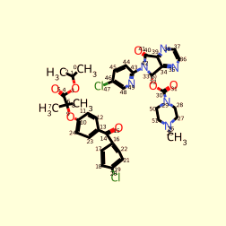 CC(C)OC(=O)C(C)(C)Oc1ccc(C(=O)c2ccc(Cl)cc2)cc1.CN1CCN(C(=O)O[C@H]2c3nccnc3C(=O)N2c2ccc(Cl)cn2)CC1